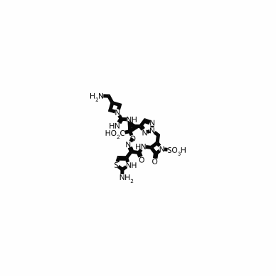 N=C(NCc1cnn(CC2C(NC(=O)/C(=N\OC3(C(=O)O)CC3)C3=CSC(N)N3)C(=O)N2S(=O)(=O)O)n1)N1CC(CN)C1